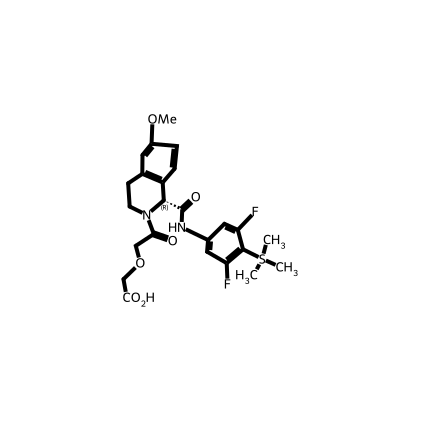 COc1ccc2c(c1)CCN(C(=O)COCC(=O)O)[C@H]2C(=O)Nc1cc(F)c(S(C)(C)C)c(F)c1